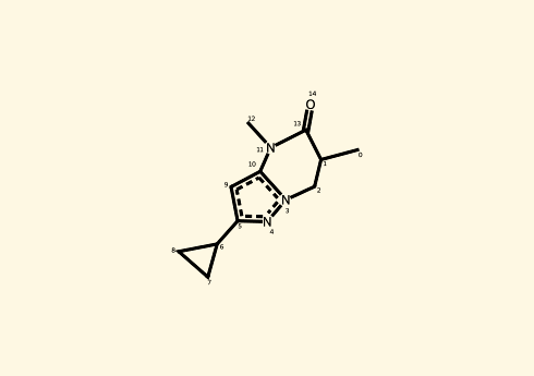 CC1Cn2nc(C3CC3)cc2N(C)C1=O